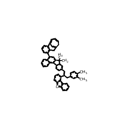 Cc1ccc(C/C(=C/c2ccc3c(c2)C(C)(C)c2cc(-c4cccc5c4CC4=CC5=CC=CC4)c4ccccc4c2-3)c2cccc3oc4ccccc4c23)cc1C